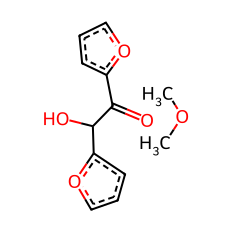 COC.O=C(c1ccco1)C(O)c1ccco1